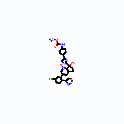 COC(=O)Nc1ccc(-c2c[nH]c(C3(O)CCc4cc(-c5cc(Cl)ccc5-c5csnn5)c[n+]([O-])c43)n2)cc1